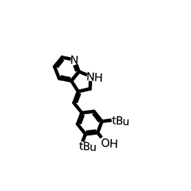 CC(C)(C)c1cc(C=C2CNc3ncccc32)cc(C(C)(C)C)c1O